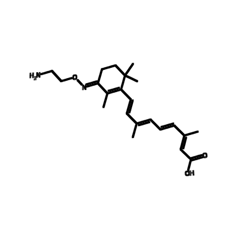 CC(C=CC1=C(C)C(=NOCCN)CCC1(C)C)=CC=CC(C)=CC(=O)O